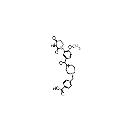 COc1ccc(C(=O)N2CCCN(Cc3ccc(C(=O)O)cc3)CC2)cc1N1CCC(=O)NC1=O